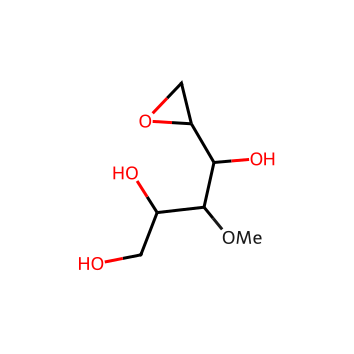 COC(C(O)CO)C(O)C1CO1